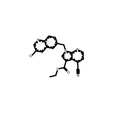 CCOC(=O)c1cn(Cc2ccc3ncc(Cl)cc3c2)c2nccc(C#N)c12